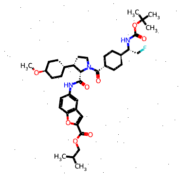 CO[C@H]1CC[C@H]([C@@H]2CCN(C(=O)[C@H]3CC[C@H]([C@@H](CF)NC(=O)OC(C)(C)C)CC3)[C@@H]2C(=O)Nc2ccc3oc(C(=O)OCC(C)C)cc3c2)CC1